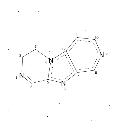 C1=NCCn2c1nc1cnccc12